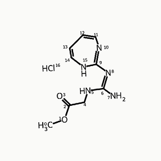 COC(=O)CNC(N)=NC1=NC=CC=CN1.Cl